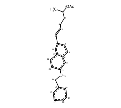 CC(=O)OC(C)CC/C=C/c1ccc2cc(OCc3ccccc3)ccc2c1